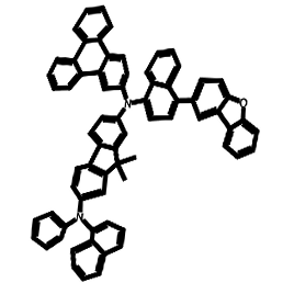 CC1(C)c2cc(N(c3ccccc3)c3cccc4ccccc34)ccc2-c2ccc(N(c3ccc4c5ccccc5c5ccccc5c4c3)c3ccc(-c4ccc5oc6ccccc6c5c4)c4ccccc34)cc21